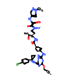 COC(=O)[C@H](CCNC(=O)C(=O)Nc1cnn(C)c1)NC(=O)c1ccc(Nc2nc(NC3(c4ccc(Cl)cc4)CC3)nc(OCC(F)(F)F)n2)cc1